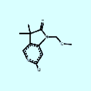 COCN1C(=O)C(C)(C)c2cnc(Cl)cc21